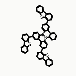 c1ccc2c(c1)-c1cc(-c3cccc4c3sc3ccccc34)ccc1B1c3ccc(-c4cccc5c4sc4ccccc45)cc3-c3cc(-c4cccc5c4sc4ccccc45)ccc3N12